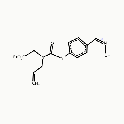 C=CCN(CC(=O)OCC)C(=O)Nc1ccc(/C=N\O)cc1